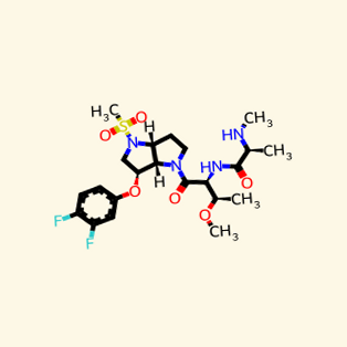 CN[C@@H](C)C(=O)N[C@H](C(=O)N1CC[C@@H]2[C@H]1[C@@H](Oc1ccc(F)c(F)c1)CN2S(C)(=O)=O)[C@@H](C)OC